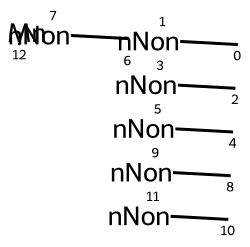 CCCCCCCCCC.CCCCCCCCCC.CCCCCCCCCC.CCCCCCCCCC.CCCCCCCCCC.CCCCCCCCCC.[Mn]